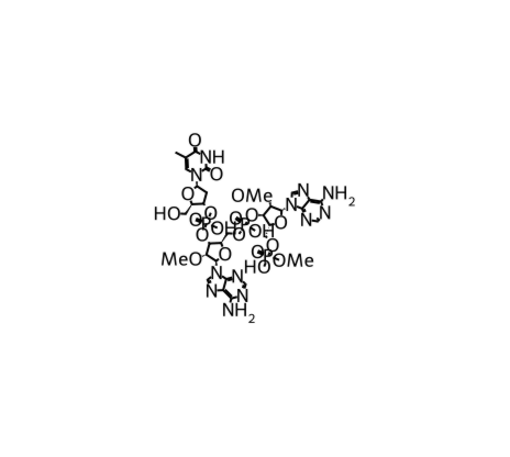 CO[C@@H]1[C@H](OP(=O)(O)OC[C@H]2O[C@@H](n3cnc4c(N)ncnc43)[C@H](OC)[C@@H]2OP(=O)(O)O[C@H]2C[C@H](n3cc(C)c(=O)[nH]c3=O)O[C@@H]2CO)[C@@H](COP(=O)(O)OC)O[C@H]1n1cnc2c(N)ncnc21